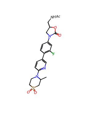 CC(=O)NCC1CN(c2ccc(-c3ccc(N4CCS(=O)(=O)CC4C)nc3)c(F)c2)C(=O)O1